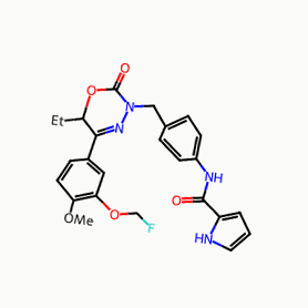 CCC1OC(=O)N(Cc2ccc(NC(=O)c3ccc[nH]3)cc2)N=C1c1ccc(OC)c(OCF)c1